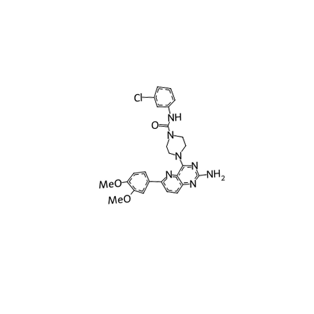 COc1ccc(-c2ccc3nc(N)nc(N4CCN(C(=O)Nc5cccc(Cl)c5)CC4)c3n2)cc1OC